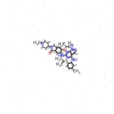 Cc1ccc(SC(C)C)c(Nc2nc(Nc3cc4c(cc3OC(C)C)CN(C3CCN(C)CC3)C4=O)nc3[nH]ncc23)c1